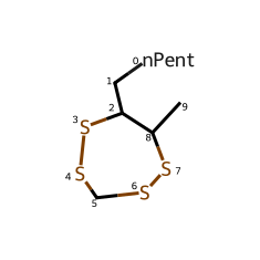 CCCCCCC1SSCSSC1C